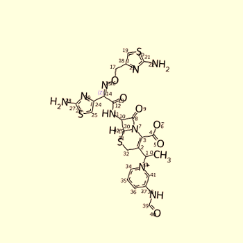 CC(C1=C(C(=O)[O-])N2C(=O)C(NC(=O)/C(=N\OCc3csc(N)n3)c3csc(N)n3)[C@@H]2SC1)[n+]1cccc(NC=O)c1